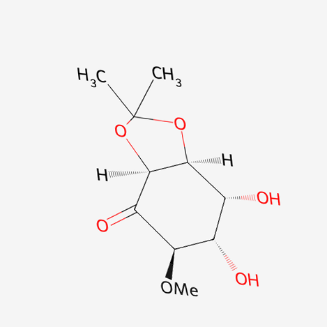 CO[C@H]1C(=O)[C@H]2OC(C)(C)O[C@H]2[C@H](O)[C@@H]1O